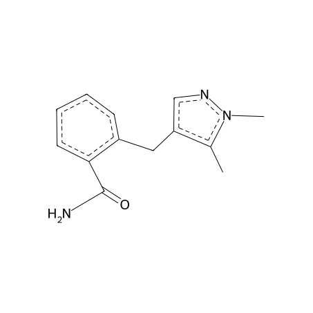 Cc1c(Cc2ccccc2C(N)=O)cnn1C